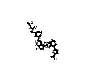 CC(=O)c1ccc(-c2cncc3[nH]c(-c4n[nH]c5cnc(-c6cncc(NC(=O)CN(C)C)c6)cc45)nc23)s1